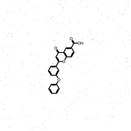 O=C(O)c1ccc2oc(-c3cccc(Oc4ccccc4)c3)cc(=O)c2c1